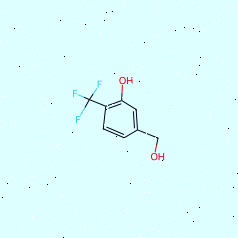 OCc1ccc(C(F)(F)F)c(O)c1